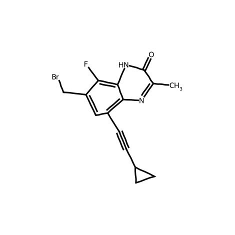 Cc1nc2c(C#CC3CC3)cc(CBr)c(F)c2[nH]c1=O